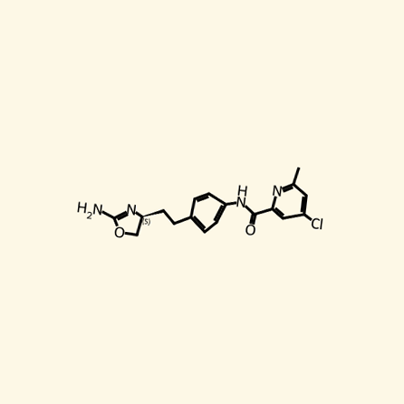 Cc1cc(Cl)cc(C(=O)Nc2ccc(CC[C@H]3COC(N)=N3)cc2)n1